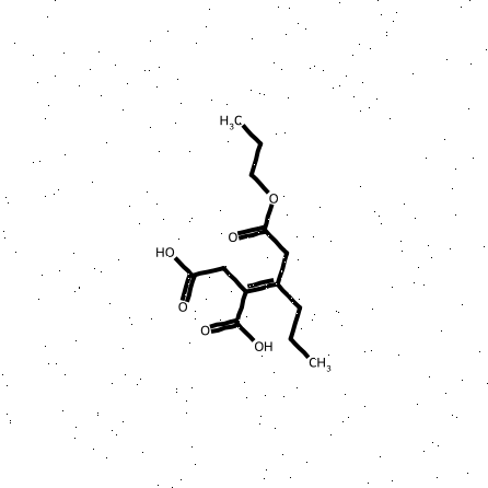 CCCOC(=O)CC(CCC)=C(CC(=O)O)C(=O)O